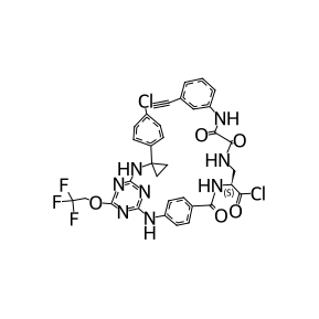 C#Cc1cccc(NC(=O)C(=O)NC[C@H](NC(=O)c2ccc(Nc3nc(NC4(c5ccc(Cl)cc5)CC4)nc(OCC(F)(F)F)n3)cc2)C(=O)Cl)c1